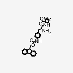 COC(=O)C1(NC[C@@H](N)Cc2ccc(NC(=O)OCC3c4ccccc4-c4ccccc43)cc2)CCC1